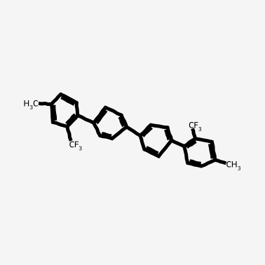 Cc1ccc(-c2ccc(-c3ccc(-c4ccc(C)cc4C(F)(F)F)cc3)cc2)c(C(F)(F)F)c1